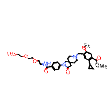 CCOc1cc(C(=O)OC)c(C2CC2)cc1CN1CCC2(CC1)CC(=O)N(c1ccc(C(=O)NCCOCCOCCO)cc1)C2